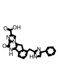 O=C(O)c1cn2c3c([nH]c(=O)c2n1)-c1cccc(Cc2nc(-c4ccccc4)c[nH]2)c1C3